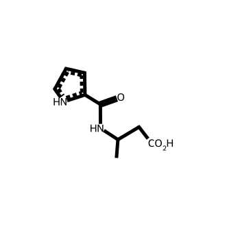 CC(CC(=O)O)NC(=O)c1ccc[nH]1